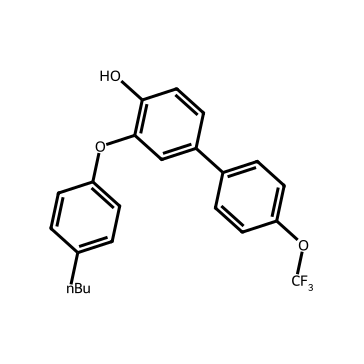 CCCCc1ccc(Oc2cc(-c3ccc(OC(F)(F)F)cc3)ccc2O)cc1